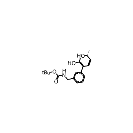 C/C(O)=C(\C=C/[C@@H](C)O)c1cccc(CNC(=O)OC(C)(C)C)c1